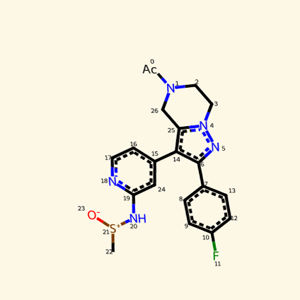 CC(=O)N1CCn2nc(-c3ccc(F)cc3)c(-c3ccnc(N[S+](C)[O-])c3)c2C1